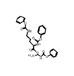 CC(NC(=O)Oc1ccccc1)OC(=O)C(CCCNC(=O)Oc1ccccc1)NC(=O)Oc1ccccc1